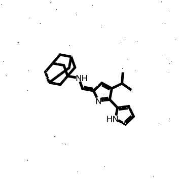 CC(C)C1=C/C(=C\NC23CC4CC(CC(C4)C2)C3)N=C1c1ccc[nH]1